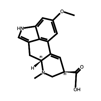 COc1cc2c3c(c[nH]c3c1)C[C@@H]1C2=C[C@@H](C(=O)O)CN1C